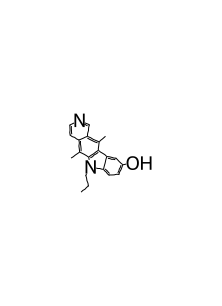 CCCn1c2ccc(O)cc2c2c(C)c3cnccc3c(C)c21